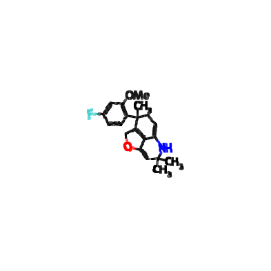 COc1cc(F)ccc1C1(C)CC=C2NC(C)(C)C=C3OCC1=C23